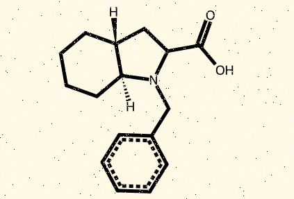 O=C(O)C1C[C@H]2CCCC[C@@H]2N1Cc1ccccc1